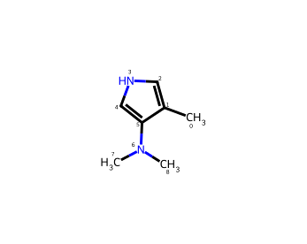 Cc1c[nH]cc1N(C)C